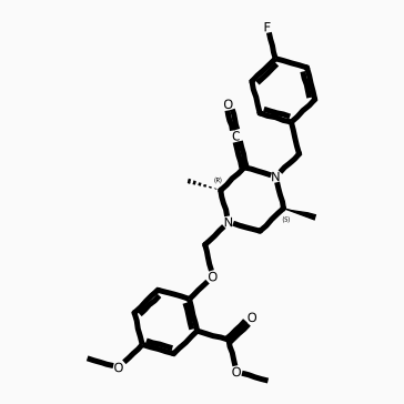 COC(=O)c1cc(OC)ccc1OCN1C[C@H](C)N(Cc2ccc(F)cc2)C(=C=O)[C@H]1C